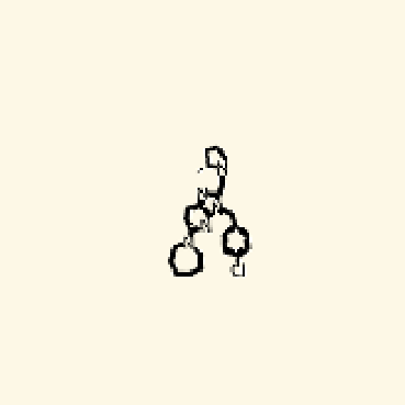 C[C@@H]1CCCN1Cc1nc2ccc(N3CCCCCC3)nc2n1Cc1ccc(Cl)cc1